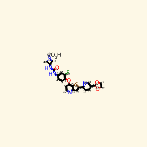 O=C(Nc1ccc(Oc2ccnc3cc(-c4ccc(C5OCCO5)cn4)sc23)c(F)c1)NC1CN(C(=O)O)C1